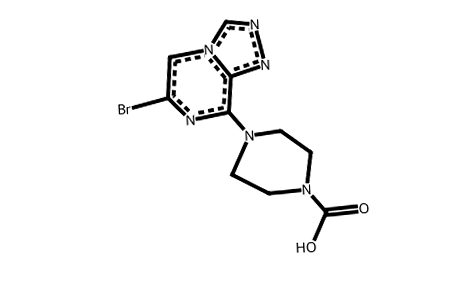 O=C(O)N1CCN(c2nc(Br)cn3cnnc23)CC1